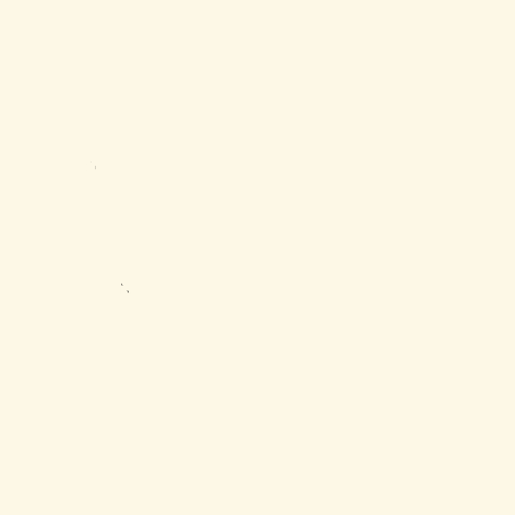 CCCCCCCCCCCCN(c1ccccc1)c1cccc(OC)c1